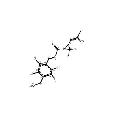 C/C(C#N)=C/[C@@H]1[C@@H](C(=O)OCc2c(F)c(F)c(CO)c(F)c2F)C1(C)C